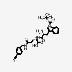 CC(C)(C)OC(=O)n1cc(C[C@@H](N)C(=O)N[C@@H](CCC(=O)NCc2ccc(C#N)cc2)C(=O)O)c2ccccc21